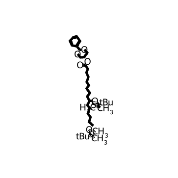 CC(C)(C)[Si](C)(C)OCCCCCCC(CCCCCCCCC(=O)OC1COC(c2ccccc2)OC1)O[Si](C)(C)C(C)(C)C